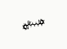 BrC(CCCCCc1ccccn1)c1ccccn1